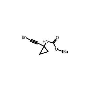 CC(C)(C)OC(=O)NC1(C#CBr)CC1